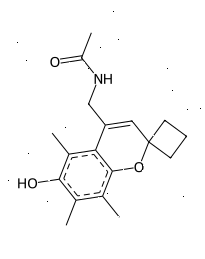 CC(=O)NCC1=CC2(CCC2)Oc2c(C)c(C)c(O)c(C)c21